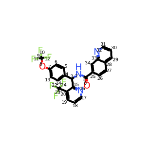 O=C(NC(c1ccc(OC(F)(F)F)cc1)c1ncccc1C(F)(F)F)c1ccc2cccnc2c1